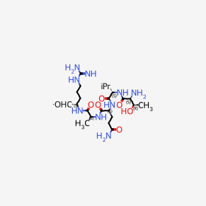 CC(C)[C@H](NC(=O)[C@@H](N)[C@@H](C)O)C(=O)N[C@@H](CCC(N)=O)C(=O)N[C@@H](C)C(=O)N[C@H]([C]=O)CCCNC(=N)N